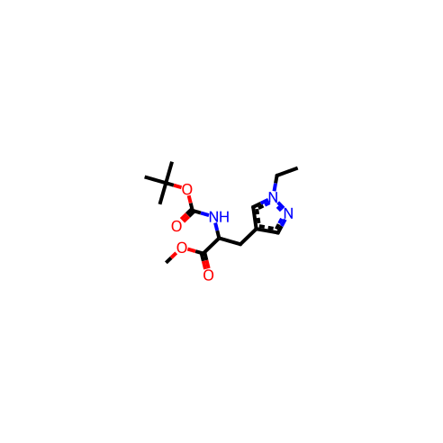 CCn1cc(CC(NC(=O)OC(C)(C)C)C(=O)OC)cn1